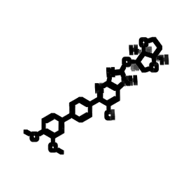 COc1ccc(-c2ccc(-c3nc4nc(O[C@@H]5CO[C@@H]6CCO[C@@H]65)[nH]c4cc3Cl)cc2)cc1OC